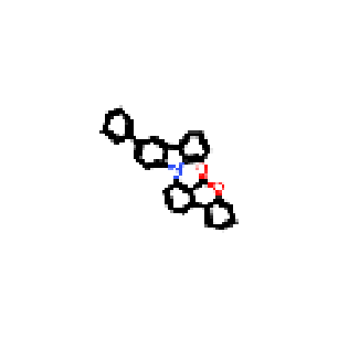 O=c1oc2ccccc2c2cccc(-n3c4ccccc4c4cc(-c5ccccc5)ccc43)c12